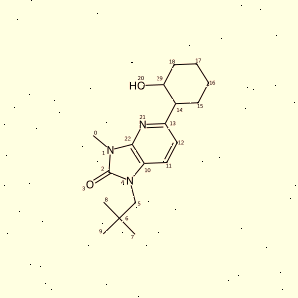 Cn1c(=O)n(CC(C)(C)C)c2ccc(C3C[CH]CCC3O)nc21